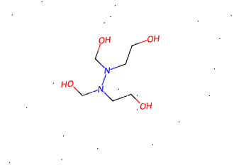 OCCN(CO)N(CO)CCO